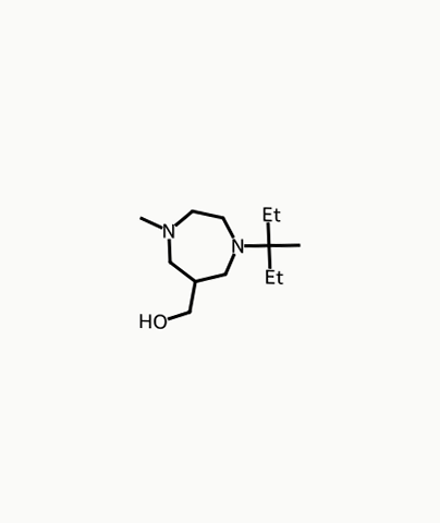 CCC(C)(CC)N1CCN(C)CC(CO)C1